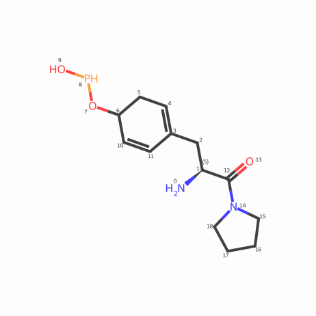 N[C@@H](CC1=CCC(OPO)C=C1)C(=O)N1CCCC1